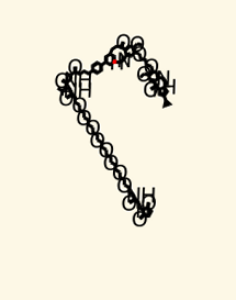 COc1cc2c(cc1OCCCOc1cc3c(cc1OC)C(=O)CCC1C=C(c4ccc(CCCC(=O)[C@H](C)NC(=O)C(NC(=O)CCOCCOCCOCCOCCOCCOCCOCCOCCNC(=O)CCN5C(=O)C=CC5=O)C(C)C)cc4)C[C@@H](/C=N\3)C1)N=C[C@@H]1CC(C3CC3)=CN1C2=O